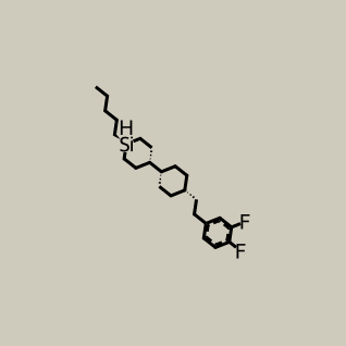 CCCCC[Si@H]1CC[C@H]([C@H]2CC[C@@H](CCc3ccc(F)c(F)c3)CC2)CC1